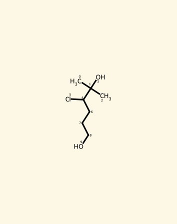 CC(C)(O)C(Cl)CCCO